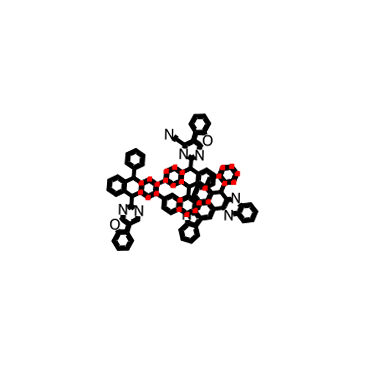 N#Cc1nc(C23c4ccccc4C(c4ccccc4)(c4ccccc42)c2cc(-c4ccc5c(c4)C4(c6ccccc6)c6ccccc6C5(c5ncc6c(n5)oc5ccccc56)c5cc(-c6ccc(-n7c8ccccc8c8cc(-c9nc%10ccccc%10nc9C9%10c%11ccccc%11C(c%11ccccc%119)c9ccccc9%10)ccc87)cc6)ccc54)ccc23)nc2oc3ccccc3c12